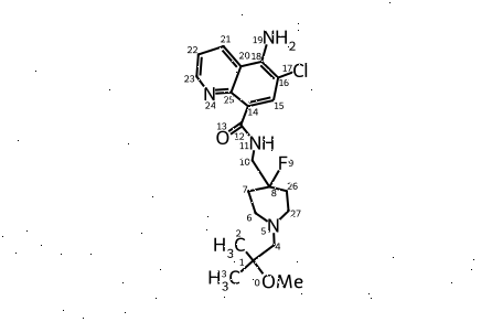 COC(C)(C)CN1CCC(F)(CNC(=O)c2cc(Cl)c(N)c3cccnc23)CC1